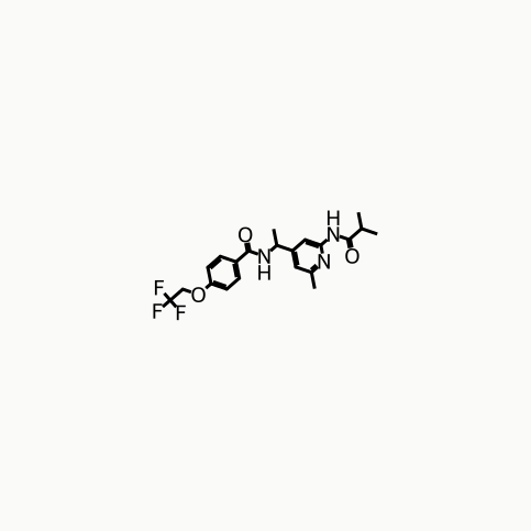 Cc1cc(C(C)NC(=O)c2ccc(OCC(F)(F)F)cc2)cc(NC(=O)C(C)C)n1